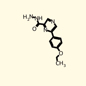 CCOc1ccc(-c2cncc(C(=O)NN)n2)cc1